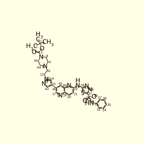 CC(C)(C)OC(=O)N1CCN(CCn2cc(-c3cnc4ccc(Nc5nnc(S(=O)(=O)Nc6ccccc6)s5)nc4c3)cn2)CC1